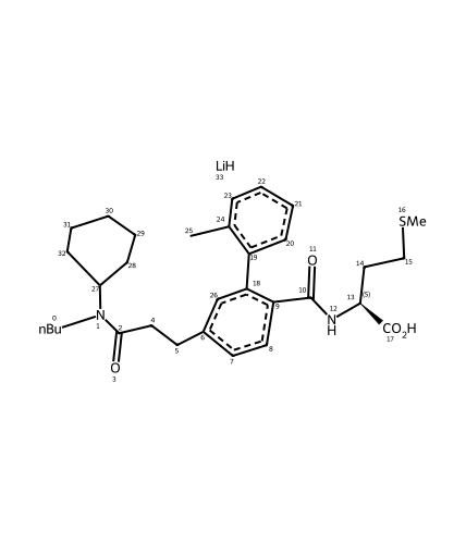 CCCCN(C(=O)CCc1ccc(C(=O)N[C@@H](CCSC)C(=O)O)c(-c2ccccc2C)c1)C1CCCCC1.[LiH]